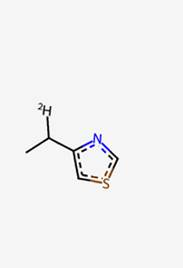 [2H]C(C)c1cscn1